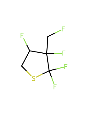 FCC1(F)C(F)CSC1(F)F